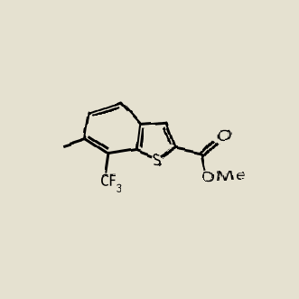 COC(=O)c1cc2ccc(C)c(C(F)(F)F)c2s1